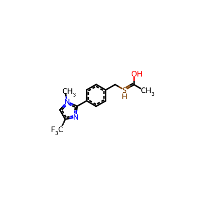 CC(O)=[SH]Cc1ccc(-c2nc(C(F)(F)F)cn2C)cc1